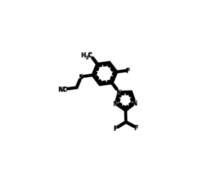 Cc1cc(F)c(-n2cnc(C(F)F)n2)cc1SCC#N